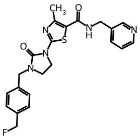 Cc1nc(N2CCN(Cc3ccc(CF)cc3)C2=O)sc1C(=O)NCc1cccnc1